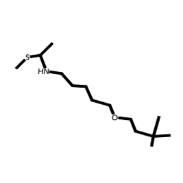 CSC(C)NCCCCCOCCC(C)(C)C